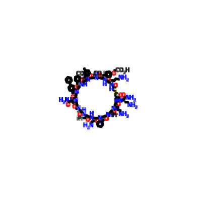 Cc1cccc(C[C@@H]2NC(=O)[C@H](CC(=O)O)NC(=O)[C@H](Cc3ccc(OCC(=O)O)cc3)NC(=O)[C@H](CCCCN)NC(=O)CSC[C@@H](C(=O)N[C@@H](CCN)C(N)=O)NC(=O)[C@H](CCCN)NC(=O)[C@H](C(C)C)NC(=O)[C@H](CC3CCCCC3)NC(=O)[C@H](CCN)NC(=O)[C@@H](CC(C)C)NC(=O)[C@H](C)N(C)C(=O)[C@H](CCC(N)=O)NC(=O)[C@H](Cc3ccc(-c4ccccc4)cc3)NC(=O)[C@H](Cc3ccc(C(=O)O)cc3)NC2=O)c1